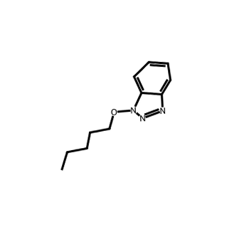 CCCCCOn1nnc2ccccc21